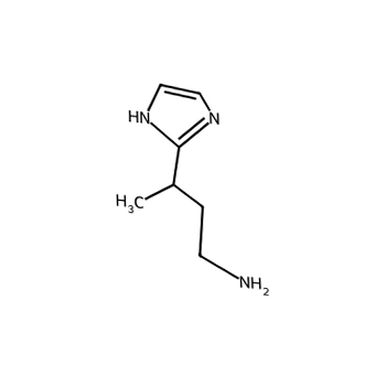 CC(CCN)c1ncc[nH]1